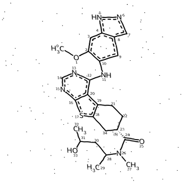 COc1cc2[nH]ncc2cc1Nc1ncnc2sc3c(c12)CC[C@H](C(=O)N(C)C(C)CC(C)O)C3